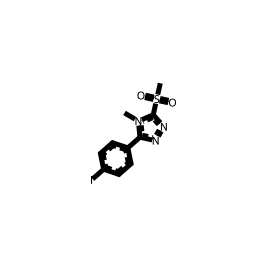 Cn1c(-c2ccc(I)cc2)nnc1S(C)(=O)=O